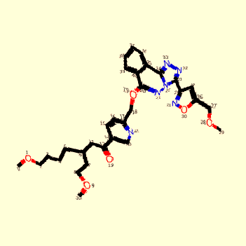 COCCCCC(CCOC)CC(=O)c1ccc(COc2nn3c(-c4cc(COC)on4)nnc3c3ccccc23)nc1